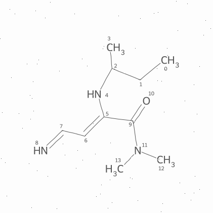 CCC(C)N/C(=C\C=N)C(=O)N(C)C